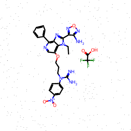 CCn1c(-c2nonc2N)nc2c(-c3ccccc3)ncc(OCCCN(C(=N)N)c3ccc([N+](=O)[O-])cc3)c21.O=C(O)C(F)(F)F